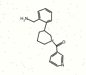 NCc1ccccc1C1CCCN(C(=O)c2cccnc2)C1